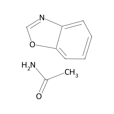 CC(N)=O.c1ccc2ocnc2c1